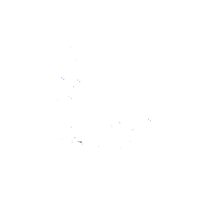 N#Cc1ccc(OCC[C@H]2C[C@@H]2C2CCN(c3ncc(Cl)cn3)CC2)cc1F